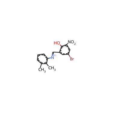 Cc1cccc(/N=C/c2cc(Br)cc([N+](=O)[O-])c2O)c1C